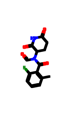 Cc1cccc(F)c1C(=O)N(C=O)C1CCC(=O)NC1=O